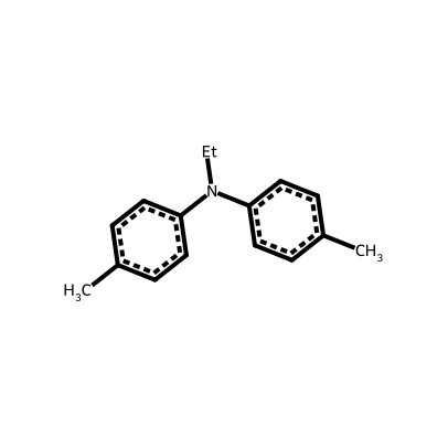 CCN(c1ccc(C)cc1)c1ccc(C)cc1